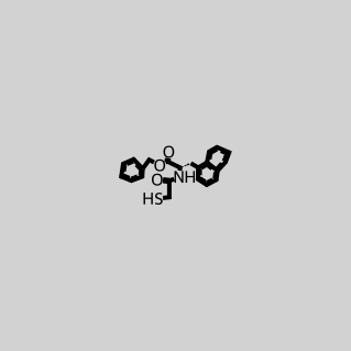 O=C(CS)N[C@@H](Cc1cccc2ccccc12)C(=O)OCc1ccccc1